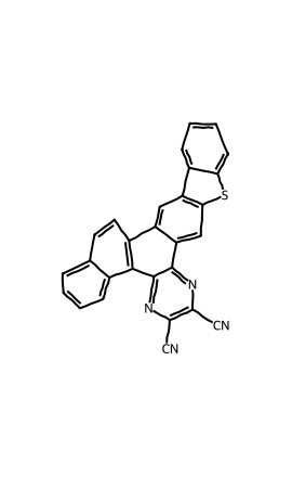 N#Cc1nc2c3cc4sc5ccccc5c4cc3c3ccc4ccccc4c3c2nc1C#N